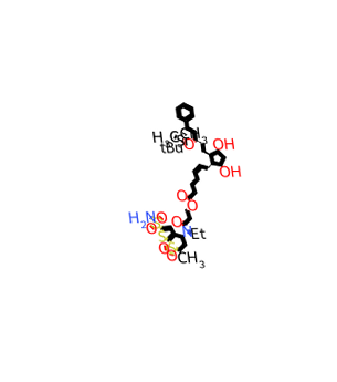 CCN(C(=O)CCOC(=O)CCC/C=C\C[C@@H]1[C@@H](CC[C@@H](CCc2ccccc2)O[Si](C)(C)C(C)(C)C)[C@H](O)C[C@@H]1O)[C@H]1C[C@H](C)S(=O)(=O)c2sc(S(N)(=O)=O)cc21